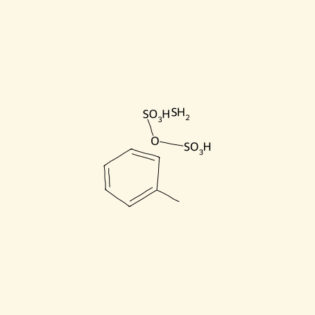 Cc1ccccc1.O=S(=O)(O)OS(=O)(=O)O.S